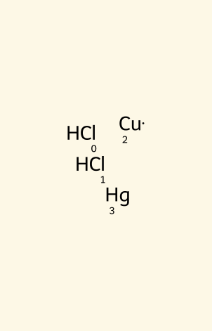 Cl.Cl.[Cu].[Hg]